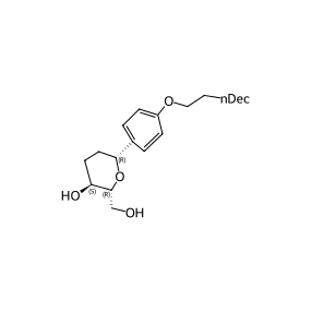 CCCCCCCCCCCCOc1ccc([C@H]2CC[C@H](O)[C@@H](CO)O2)cc1